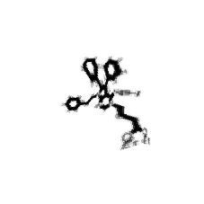 CCOC(CCCn1cnc2c(c(-c3ccccc3)c(-c3ccccc3)n2CCc2ccccc2)c1=N)OCC